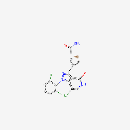 NC(=O)c1cc(-c2nn(-c3c(F)cccc3F)c3c(Cl)c[nH]c(=O)c23)cs1